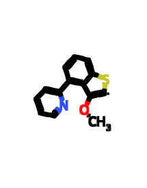 COc1[c]sc2cccc(-c3ccccn3)c12